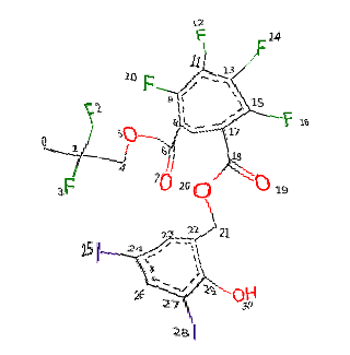 CC(F)(F)COC(=O)c1c(F)c(F)c(F)c(F)c1C(=O)OCc1cc(I)cc(I)c1O